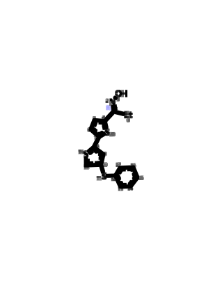 CC/C(=N\O)c1ccc(-c2cc(Sc3ccccc3)cs2)s1